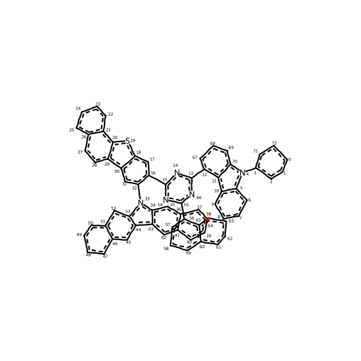 c1ccc(-n2c3ccccc3c3c(-c4nc(-c5cc6sc7c8ccccc8ccc7c6cc5-n5c6cc7ccccc7cc6c6cc7ccccc7cc65)nc(-c5cccc6ccccc56)n4)cccc32)cc1